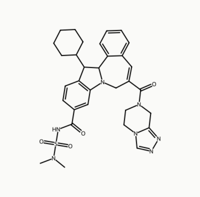 CN(C)S(=O)(=O)NC(=O)c1ccc2c(c1)N1CC(C(=O)N3CCn4cnnc4C3)=Cc3ccccc3C1C2C1CCCCC1